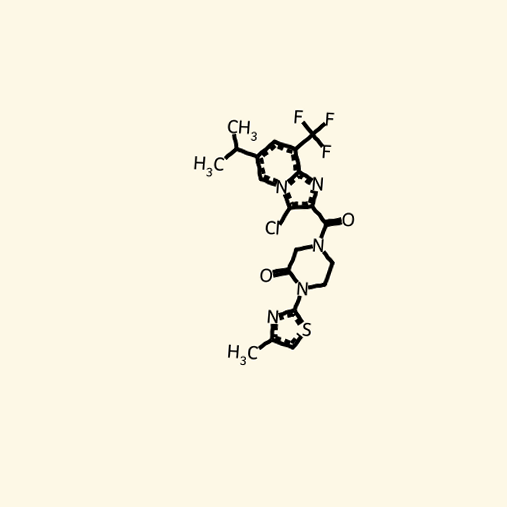 Cc1csc(N2CCN(C(=O)c3nc4c(C(F)(F)F)cc(C(C)C)cn4c3Cl)CC2=O)n1